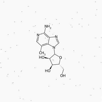 Cc1cnc(N)c2ncn(C3O[C@H](CO)[C@@H](O)[C@H]3O)c12